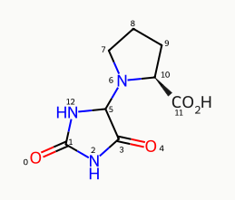 O=C1NC(=O)C(N2CCC[C@H]2C(=O)O)N1